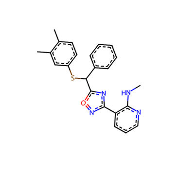 CNc1ncccc1-c1noc(C(Sc2ccc(C)c(C)c2)c2ccccc2)n1